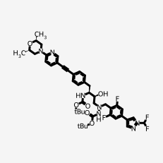 C[C@@H]1CN(c2ccc(C#Cc3ccc(C[C@H](NC(=O)OC(C)(C)C)[C@@H](O)CN(Cc4c(F)cc(-c5cnn(C(F)F)c5)cc4F)NC(=O)OC(C)(C)C)cc3)cn2)C[C@H](C)O1